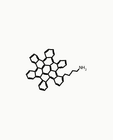 NCCCCc1cccc2c1c1c3ccccc3c3c4ccccc4c4c5ccccc5c5c6ccccc6c6c7ccccc7c2c2c6c5c4c3c12